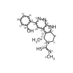 C/N=C(\S)N1CCc2[nH]c3nnc(-c4ccccc4O)cc3c2[C@H]1C